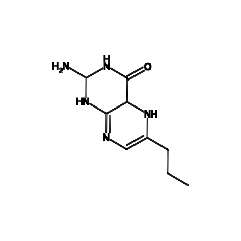 CCCC1=CN=C2NC(N)NC(=O)C2N1